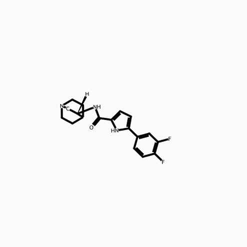 O=C(N[C@H]1CN2CCC1CC2)c1ccc(-c2ccc(F)c(F)c2)[nH]1